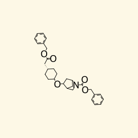 O=C(C[C@H]1CC[C@H](OC2CC3CC2CN3C(=O)OCc2ccccc2)CC1)OCc1ccccc1